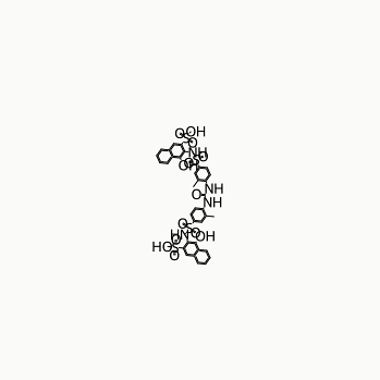 Cc1cc(S(=O)(=O)Nc2c(S(=O)(=O)O)cc3ccccc3c2O)ccc1NC(=O)Nc1ccc(S(=O)(=O)Nc2c(S(=O)(=O)O)cc3ccccc3c2O)cc1C